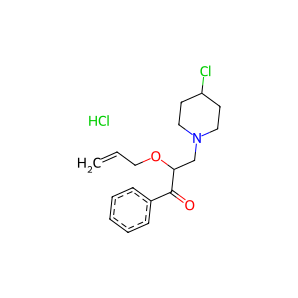 C=CCOC(CN1CCC(Cl)CC1)C(=O)c1ccccc1.Cl